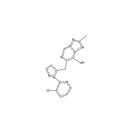 CCCc1c(Cc2ccnn2-c2ncccc2Cl)ncn2nc(C)nc12